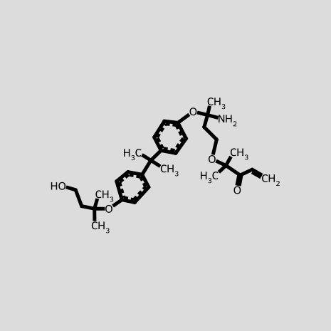 C=CC(=O)C(C)(C)OCCC(C)(N)Oc1ccc(C(C)(C)c2ccc(OC(C)(C)CCO)cc2)cc1